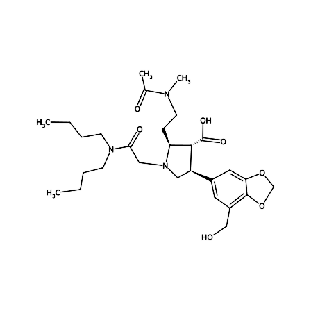 CCCCN(CCCC)C(=O)CN1C[C@H](c2cc(CO)c3c(c2)OCO3)[C@@H](C(=O)O)[C@@H]1CCN(C)C(C)=O